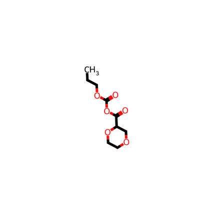 CCCOC(=O)OC(=O)C1COCCO1